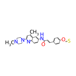 Cc1cc(N2CCN(C)CC2)nc2ccc(NC(=O)C=Cc3ccc(OC=S)cc3)cc12